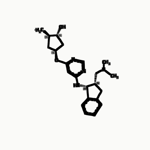 [CH2][C@@H]1C[C@H](Oc2cc(N[C@H]3c4ccccc4C[C@H]3CN(C)C)ncn2)C[C@H]1O